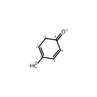 [CH]C1=CCC(=O)C=C1